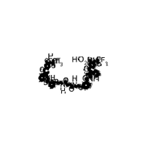 Cc1c(C(=O)c2ccc(NC(=O)C(F)(F)F)c(C(=O)O)c2)c2ccccn2c1NC(=O)c1cccc(OCCNC(=O)CCC(=O)NCCOc2cccc(C(=O)Nc3c(C)c(C(=O)c4ccc(NC(=O)C(F)(F)F)c(C(=O)O)c4)c4ccccn34)c2)c1